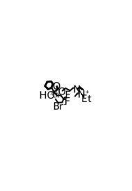 CC[n+]1ccn(CCCOC(=O)[C@](O)(c2ccccc2)[C@H]2CCCC(F)(F)C2)c1C.[Br-]